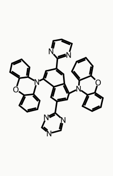 c1cnc(-c2cc(N3c4ccccc4Oc4ccccc43)c3cc(-c4ncncn4)cc(N4c5ccccc5Oc5ccccc54)c3c2)nc1